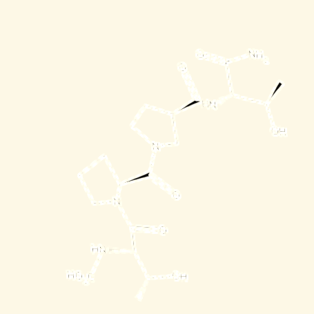 C[C@@H](O)[C@H](NC(=O)[C@@H]1CCN(C(=O)[C@@H]2CCCN2C(=O)[C@@H](NC(=O)O)[C@@H](C)O)C1)C(N)=O